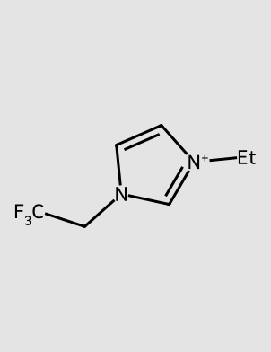 CC[n+]1ccn(CC(F)(F)F)c1